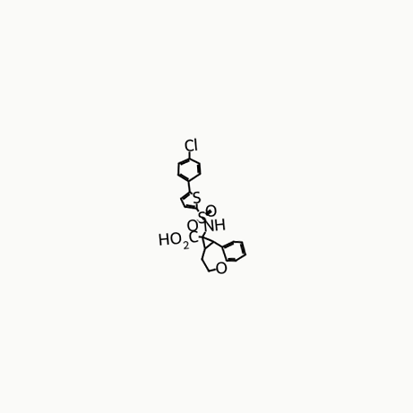 O=C(O)C1(NS(=O)(=O)c2ccc(-c3ccc(Cl)cc3)s2)C2CCOc3ccccc3C21